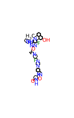 CCc1cccc2cc(O)cc(-c3ncc4c(N5CC6CCC(C5)N6)nc(OCC5(CN6CCC(F)(CN7CCN(c8ccc9c(cnn9C9CCC(=O)NC9=O)c8)CC7)CC6)CC5)nc4c3F)c12